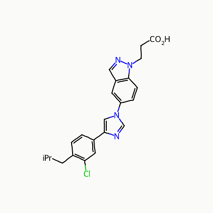 CC(C)Cc1ccc(-c2cn(-c3ccc4c(cnn4CCC(=O)O)c3)cn2)cc1Cl